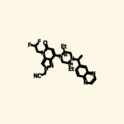 CC[C@H]1CN(C(C)c2ccc3nccnc3c2)[C@H](CC)CN1c1cc(=O)n(CC(F)F)c2cn(CC#N)nc12